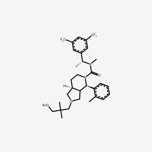 CC(=O)OCC(C)(C)CN1CC2[C@H](CCN(C(=O)N(C)[C@H](C)c3cc(C(F)(F)F)cc(C(F)(F)F)c3)[C@H]2c2ccccc2C)C1